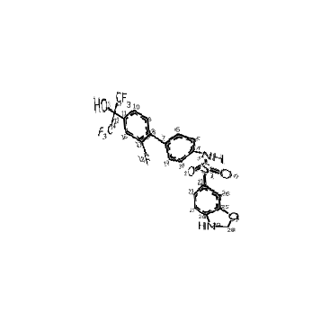 O=S(=O)(Nc1ccc(-c2ccc(C(O)(C(F)(F)F)C(F)(F)F)cc2F)cc1)c1ccc2c(c1)OCN2